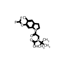 CC(C)(C)N(CC(=O)N1CCc2cc(Cl)c(OC(F)F)cc21)C(=O)O